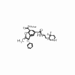 CNC(=O)c1cc(C(=O)NCC[C@@H]2CNCCC2(F)F)cc2c1O[C@H](C)[C@H]2c1ccccc1